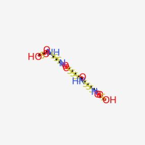 O=C(NCSCSCSC/N=C/OOCSCSCSCSC(=O)NCSCSCSC/N=C/OOCSCO)OCSCO